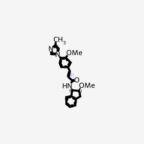 COc1cc(/C=C/C(=O)N[C@@H]2c3ccccc3C[C@@H]2OC)ccc1-n1cnc(C)c1